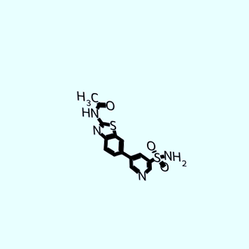 CC(=O)Nc1nc2ccc(-c3cncc(S(N)(=O)=O)c3)cc2s1